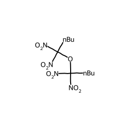 CCCCC(OC(CCCC)([N+](=O)[O-])[N+](=O)[O-])([N+](=O)[O-])[N+](=O)[O-]